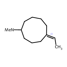 C/C=C1/CCCCC(NC)CCC1